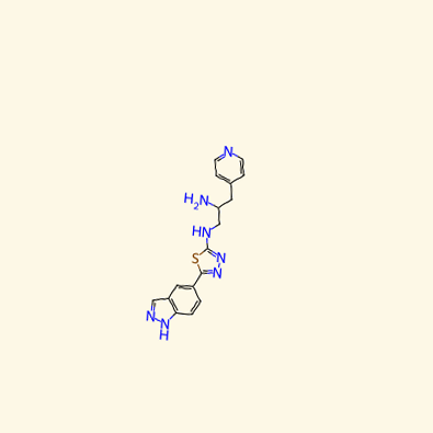 NC(CNc1nnc(-c2ccc3[nH]ncc3c2)s1)Cc1ccncc1